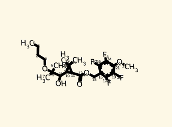 CCCCOC(C)(C)C(O)C1C(C(=O)OCc2c(F)c(F)c(OC)c(F)c2F)C1(C)C